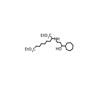 CCOC(=O)CCCCCCC(NCCC(O)C1CCCCCC1)C(=O)OCC